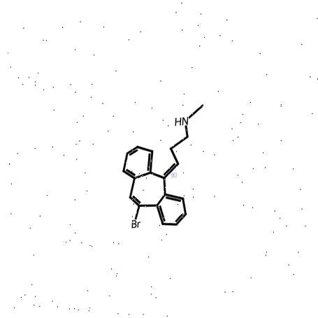 CNCC/C=C1\c2ccccc2C=C(Br)c2ccccc21